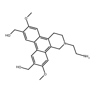 COc1cc2c3c(c4cc(OC)c(CO)cc4c2cc1CO)CN(CCN)CC3